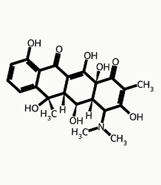 CC1=C(O)C(N(C)C)[C@@H]2[C@@H](O)[C@H]3C(=C(O)[C@]2(O)C1=O)C(=O)c1c(O)cccc1[C@@]3(C)O